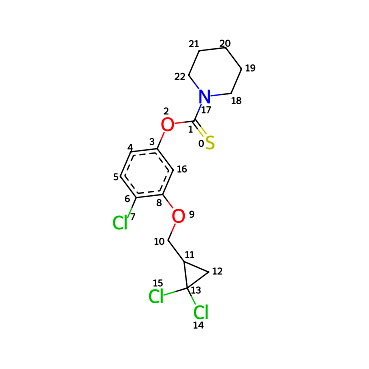 S=C(Oc1ccc(Cl)c(OCC2CC2(Cl)Cl)c1)N1CCCCC1